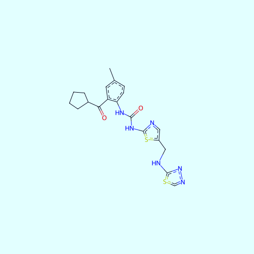 Cc1ccc(NC(=O)Nc2ncc(CNc3nncs3)s2)c(C(=O)C2CCCC2)c1